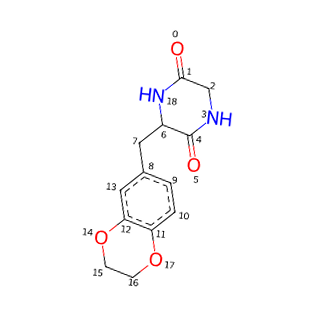 O=C1CNC(=O)C(Cc2ccc3c(c2)OCCO3)N1